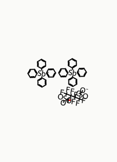 O=S(=O)([O-])C(F)(F)C(F)(F)C(F)(F)C(F)(F)S(=O)(=O)[O-].c1cc[c]([Sb+]([c]2ccccc2)([c]2ccccc2)[c]2ccccc2)cc1.c1cc[c]([Sb+]([c]2ccccc2)([c]2ccccc2)[c]2ccccc2)cc1